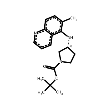 Cc1ccc2ncccc2c1N[C@@H]1CCN(C(=O)OC(C)(C)C)C1